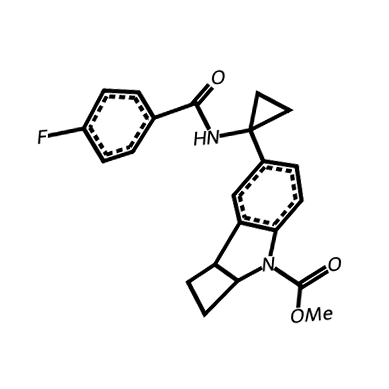 COC(=O)N1c2ccc(C3(NC(=O)c4ccc(F)cc4)CC3)cc2C2CCC21